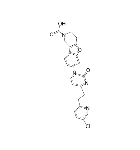 O=C(O)N1CCc2oc3cc(-n4ccc(CCc5ccc(Cl)cn5)nc4=O)ccc3c2C1